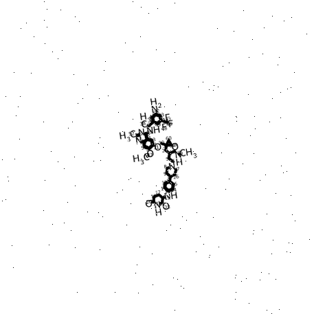 CNC(=O)C(CCN1CCC(c2ccc(NC3CCC(=O)NC3=O)cc2)CC1)CC1(COc2cc3c(NC(C)c4cc(N)cc(C(F)(F)F)c4)nc(C)nc3cc2OC)CC1